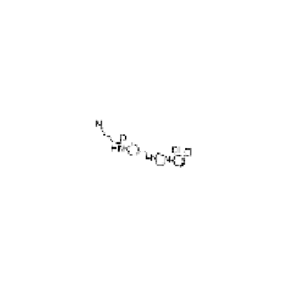 N#CCCCC(=O)N[C@H]1CC[C@H](CCN2CCN(c3cccc(Cl)c3Cl)CC2)CC1